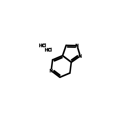 C1=NC=C2C=NN=C2C1.Cl.Cl